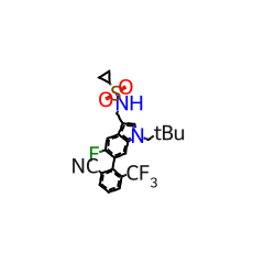 CC(C)(C)Cn1cc(CNS(=O)(=O)C2CC2)c2cc(F)c(-c3c(C#N)cccc3C(F)(F)F)cc21